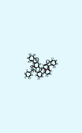 c1ccc(-c2nc3c(N(c4ccc5c(c4)oc4ccccc45)c4ccccc4-c4ccccc4)cc4oc5ccccc5c4c3s2)cc1